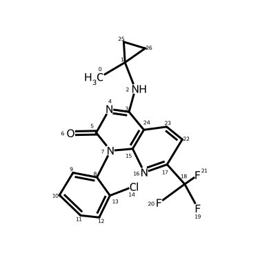 CC1(Nc2nc(=O)n(-c3ccccc3Cl)c3nc(C(F)(F)F)ccc23)CC1